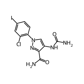 NC(=O)Nc1cn(-c2ccc(I)cc2Cl)nc1C(N)=O